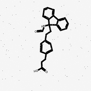 O=CNC1(CCc2ccc(CCC(=O)O)cc2)c2ccccc2-c2ccccc21